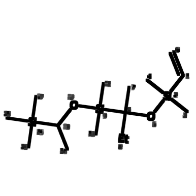 C=C[Si](C)(C)OC(C)(CC)[Si](C)(C)OC(C)[Si](C)(C)C